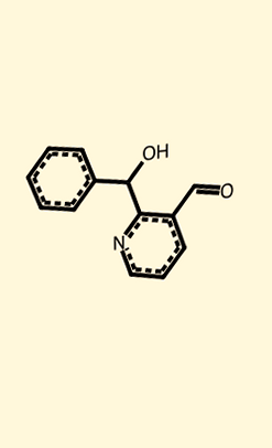 O=Cc1cccnc1C(O)c1ccccc1